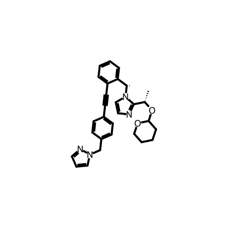 C[C@H](OC1CCCCO1)c1nccn1[CH]c1ccccc1C#Cc1ccc(Cn2cccn2)cc1